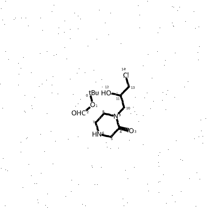 CC(C)(C)OC=O.O=C1CNCCN1CC(O)CCl